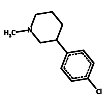 CN1CCCC(c2ccc(Cl)cc2)C1